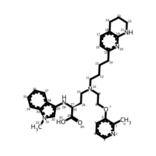 Cc1ncccc1OCCN(CCCCc1ccc2c(n1)NCCC2)CC[C@H](Nc1cn(C)c2ccccc12)C(=O)O